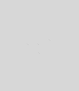 Cc1nc2c(-c3ccc(C(C)(C)C)cc3)nccn2c1NCc1ccccc1